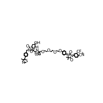 Cc1ncsc1-c1ccc(CNC(=O)[C@@H]2C[C@@H](O)CN2C(=O)C(NC(=O)COCCOCCOCCOc2ccc(N3C(=O)N(c4ccc(C#N)c(C(F)(F)F)c4)C(=O)C3(C)C)cc2)C(C)(C)C)cc1